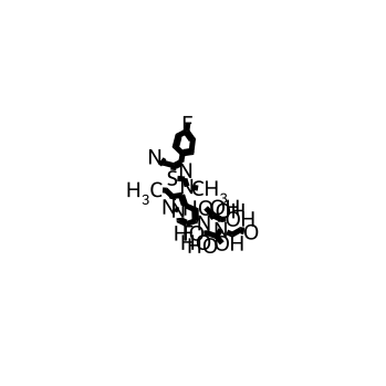 CCc1nn2cc(F)c(N3C(O)(O)C(O)(O)N(CC=O)C(O)(O)C3(O)O)cc2c1N(C)c1nc(-c2ccc(F)cc2)c(C#N)s1